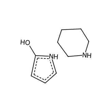 C1CCNCC1.Oc1ccc[nH]1